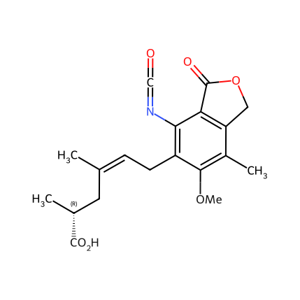 COc1c(C)c2c(c(N=C=O)c1CC=C(C)C[C@@H](C)C(=O)O)C(=O)OC2